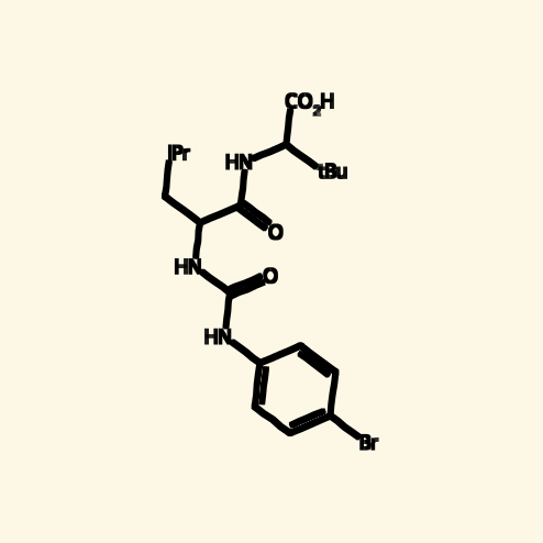 CC(C)CC(NC(=O)Nc1ccc(Br)cc1)C(=O)NC(C(=O)O)C(C)(C)C